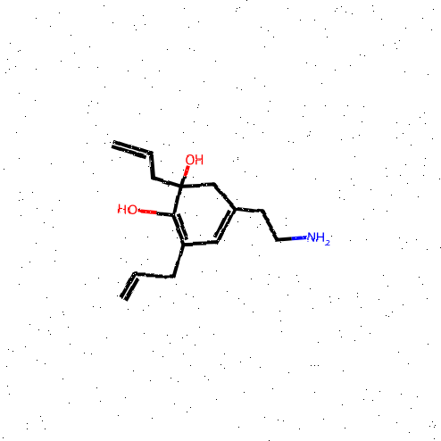 C=CCC1=C(O)C(O)(CC=C)CC(CCN)=C1